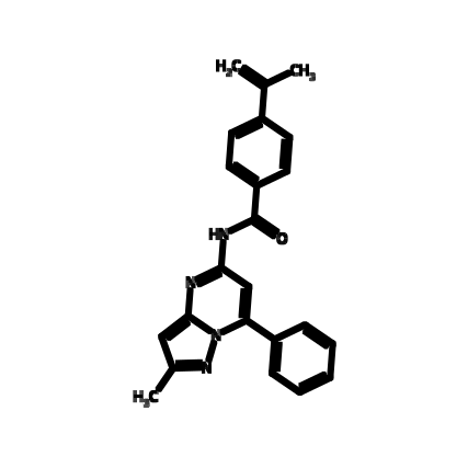 C=C(C)c1ccc(C(=O)Nc2cc(-c3ccccc3)n3nc(C)cc3n2)cc1